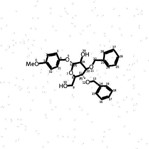 COc1ccc(O[C@H]2OC(CO)[C@@H](OCc3ccccc3)C(OCc3ccccc3)C2O)cc1